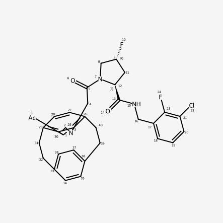 CC(=O)c1cn(CC(=O)N2C[C@H](F)C[C@H]2C(=O)NCc2cccc(Cl)c2F)c2c3ccc(c12)CCc1ccc(cc1)CC3